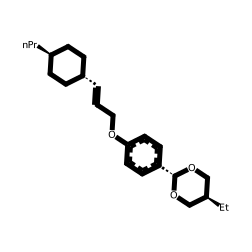 CCC[C@H]1CC[C@H](/C=C/COc2ccc([C@H]3OC[C@H](CC)CO3)cc2)CC1